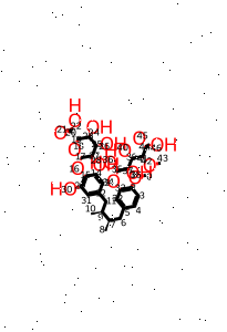 COc1ccc(C[C@@H](C)[C@@H](C)Cc2ccc(O[C@@H]3O[C@H](C(=O)O)[C@@H](O)[C@H](O)[C@H]3O)c(O)c2)cc1O[C@H](O)[C@@H](O)[C@H](O)[C@H](OC)C(=O)O